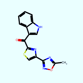 Cc1nc(-c2csc(C(=O)c3c[nH]c4ccccc34)n2)no1